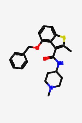 Cc1sc2cccc(OCc3ccccc3)c2c1C(=O)NC1CCN(C)CC1